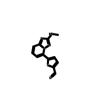 CNc1nc2cccc(-c3ccc(C=O)s3)n2n1